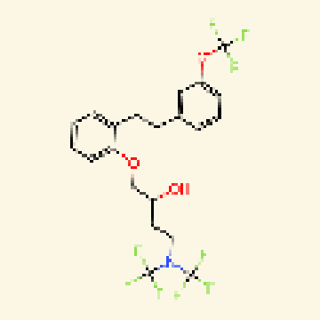 OC(CCN(C(F)(F)F)C(F)(F)F)COc1ccccc1CCc1cccc(OC(F)(F)F)c1